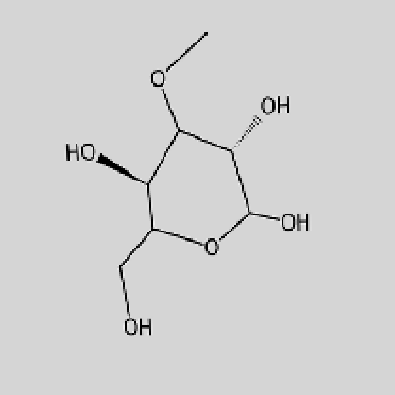 COC1[C@H](O)C(O)OC(CO)[C@H]1O